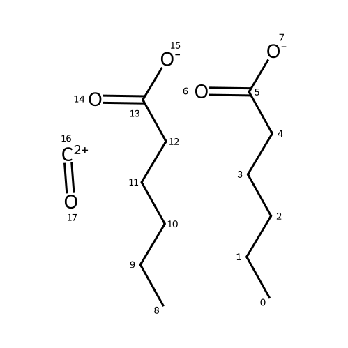 CCCCCC(=O)[O-].CCCCCC(=O)[O-].[C+2]=O